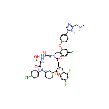 C[C@H]1C(=O)N[C@@H](CO)C(=O)N[C@@]2(Cc3ccc(Cl)cc3)CCCC(C2)C(=O)[C@H](Cc2c(F)cc(F)cc2F)CC(=O)N1Cc1ccc(Cl)cc1Oc1ccc(-c2cnc(CN(C)C)n2C)cc1